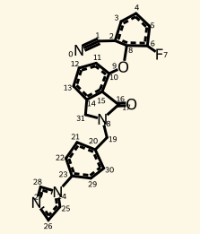 N#Cc1cccc(F)c1Oc1cccc2c1C(=O)N(Cc1ccc(-n3ccnc3)cc1)C2